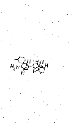 C[C@H]1CCCC2(C1)[C@H]1C[C@H](CC1C1CC3(C[C@H]1C)[C@@H]1CC[C@@H](C1)[C@@H]3N)[C@@H]2N